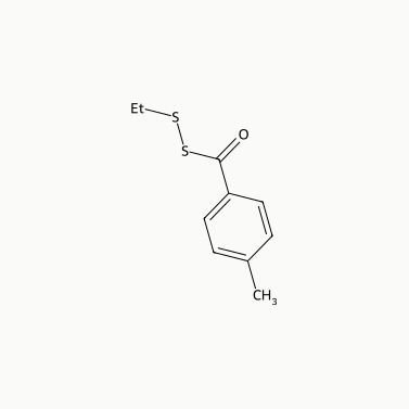 CCSSC(=O)c1ccc(C)cc1